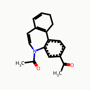 CC(=O)c1ccc2c(c1)N(C(C)=O)C=CC1=C2CCC=C1